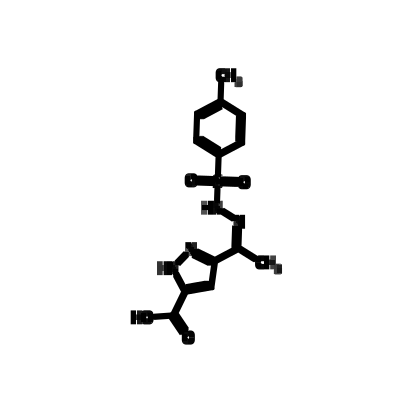 CC(=NNS(=O)(=O)c1ccc(C)cc1)c1cc(C(=O)O)[nH]n1